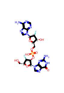 Nc1nc2c(ncn2[C@@H]2O[C@H](CO)[C@@H](F)[C@H]2OP(=O)(O)OC[C@H]2O[C@@H](n3cnc4c(N)ncnc43)[C@@H](F)[C@@H]2O)c(=O)[nH]1